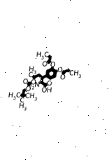 CCC(=O)Oc1ccc(C(CC(C)OC(=O)OCC(C)(C)C)[C@H](N)C(=O)O)cc1OC(=O)CC